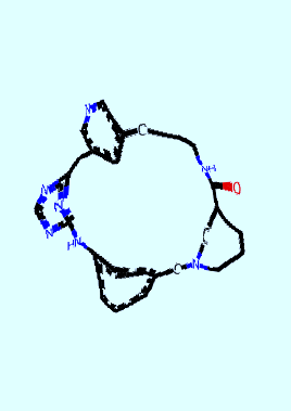 O=C1NCCCc2cncc(c2)-c2ncnc(n2)Nc2cccc(c2)CN2CCCC1C2